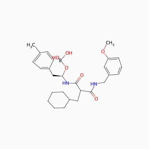 COc1cccc(CNC(=O)C(CC2CCCCC2)C(=O)N[C@@H](Cc2ccc(C)cc2)OB(O)O)c1